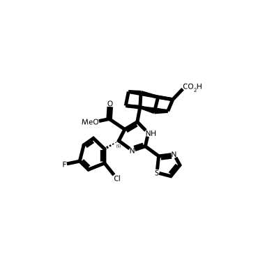 COC(=O)C1=C(C23C4C5C2C2C3C4C52C(=O)O)NC(c2nccs2)=N[C@@H]1c1ccc(F)cc1Cl